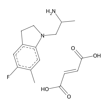 Cc1cc2c(cc1F)CCN2CC(C)N.O=C(O)/C=C/C(=O)O